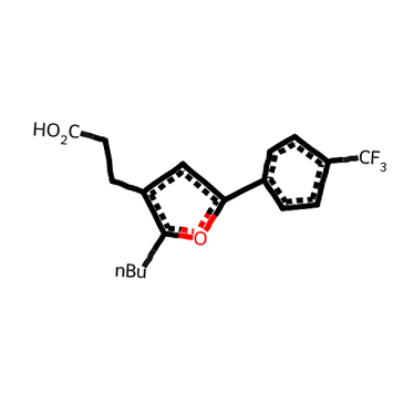 CCCCc1oc(-c2ccc(C(F)(F)F)cc2)cc1CCC(=O)O